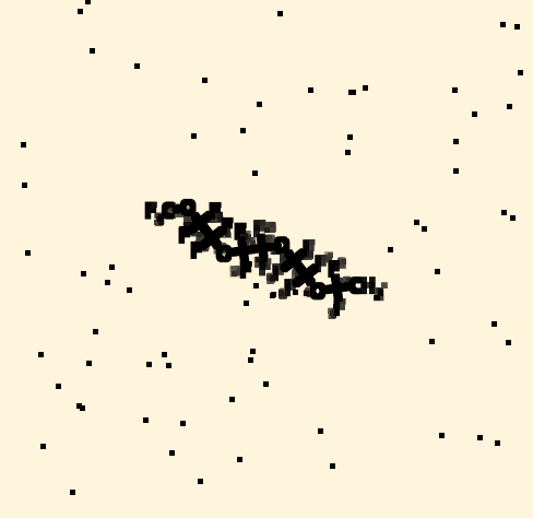 [CH2]C(F)(F)OC(F)(F)C(F)(F)OC(F)(F)C(F)(F)OC(F)(F)C(F)(F)OC(F)(F)F